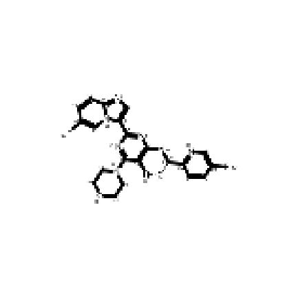 C[C@H](Nc1nc(-c2cnc3ccc(F)cn23)nc(N2CCOCC2)c1F)c1ccc(F)cn1